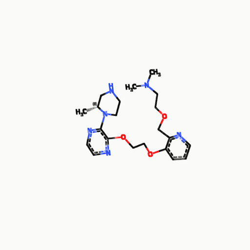 C[C@@H]1CNCCN1c1nccnc1OCCOc1cccnc1COCCN(C)C